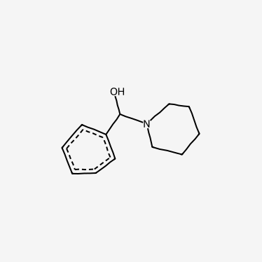 OC(c1ccccc1)N1CCCCC1